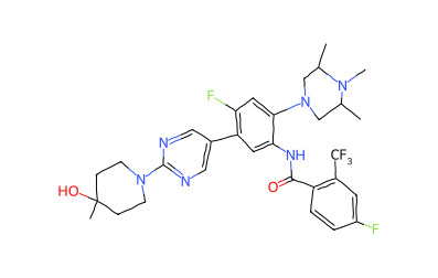 CC1CN(c2cc(F)c(-c3cnc(N4CCC(C)(O)CC4)nc3)cc2NC(=O)c2ccc(F)cc2C(F)(F)F)CC(C)N1C